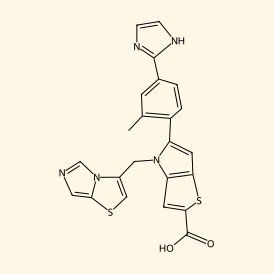 Cc1cc(-c2ncc[nH]2)ccc1-c1cc2sc(C(=O)O)cc2n1Cc1csc2cncn12